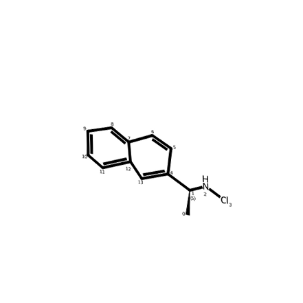 C[C@H](NCl)c1ccc2ccccc2c1